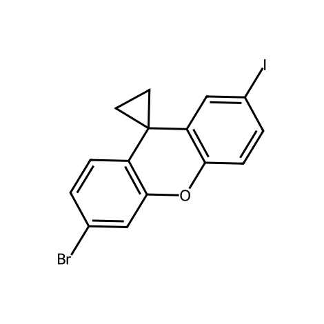 Brc1ccc2c(c1)Oc1ccc(I)cc1C21CC1